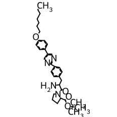 CCCCCCCOc1ccc(-c2cnc(-c3ccc(CC(N)C(=O)N4CCCC4C(=O)OC(C)(C)C)cc3)nc2)cc1